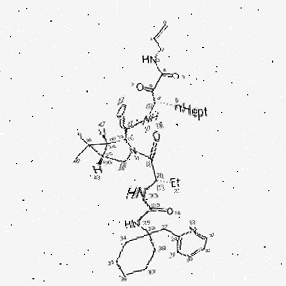 C=CCNC(=O)C(=O)[C@H](CCCCCCC)NC(=O)[C@@H]1[C@@H]2[C@H](CN1C(=O)[C@H](CC)NC(=O)NC1(Cc3ccccn3)CCCCC1)C2(C)C